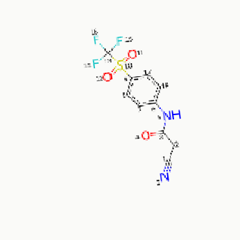 N#CCC(=O)Nc1ccc(S(=O)(=O)C(F)(F)F)cc1